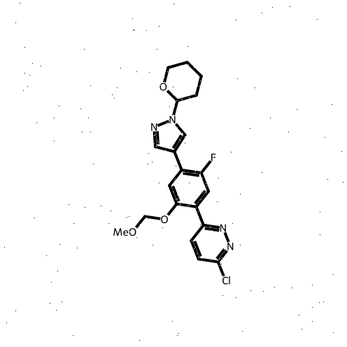 COCOc1cc(-c2cnn(C3CCCCO3)c2)c(F)cc1-c1ccc(Cl)nn1